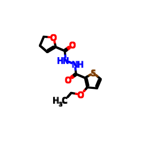 CCOc1ccsc1C(=O)NNC(=O)C1=CCCO1